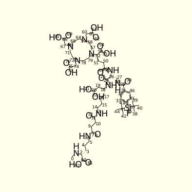 CN[C@H](CCCNC(=O)CCC(=O)NCCCC[C@H](CC(O)O)NC(=O)[C@@H](CNC(=O)c1ccc([Si](F)(C(C)(C)C)C(C)(C)C)cc1)NC(=O)CC[C@H](C(=O)O)N1CCN(CC(=O)O)CCN(CC(=O)O)CCN(CC(=O)O)CC1)C(=O)O